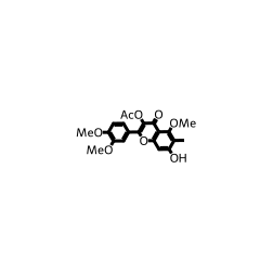 COc1ccc(-c2oc3cc(O)c(C)c(OC)c3c(=O)c2OC(C)=O)cc1OC